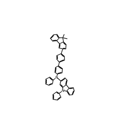 CC1(C)c2ccccc2-c2cc(-c3ccc(-c4ccc(N(c5ccccc5)c5ccc6c7ccccc7n(-c7ccccc7)c6c5)cc4)cc3)ccc21